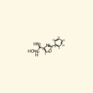 N=C(NO)c1coc(-c2ccccc2)n1